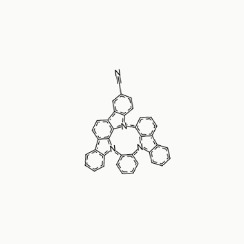 N#Cc1ccc2c(c1)c1ccc3c4ccccc4n4c5ccccc5n5c6ccccc6c6cccc(c65)n2c1c34